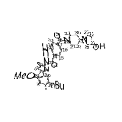 CCCCc1ccc(OC)c(-c2csc(NC(=O)c3ccc(C(=O)N4CCC(N5CC[C@@H](O)C5)CC4)cc3)n2)c1